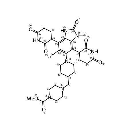 COC(=O)N1CCN(CC2CCN(c3c(F)c(C4CCC(=O)NC4=O)c4[nH]c(=O)n(C)c4c3C3CCC(=O)NC3=O)CC2)CC1